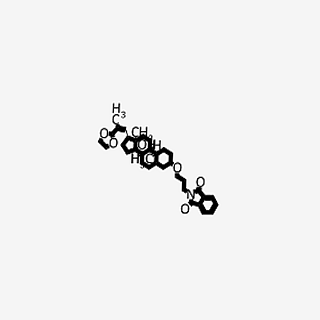 C/C(=C/[C@H]1CC[C@@]2(O)[C@@H]3CCC4CC(OCCCN5C(=O)c6ccccc6C5=O)CC[C@]4(C)[C@H]3CC[C@]12C)C1OCCO1